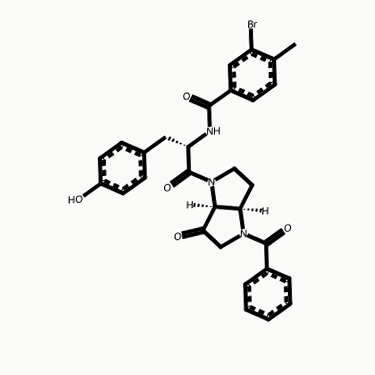 Cc1ccc(C(=O)N[C@@H](Cc2ccc(O)cc2)C(=O)N2CC[C@@H]3[C@H]2C(=O)CN3C(=O)c2ccccc2)cc1Br